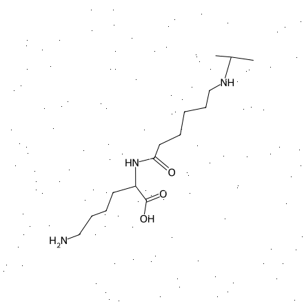 CC(C)NCCCCCC(=O)NC(CCCCN)C(=O)O